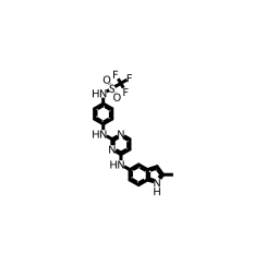 Cc1cc2cc(Nc3ccnc(Nc4ccc(NS(=O)(=O)C(F)(F)F)cc4)n3)ccc2[nH]1